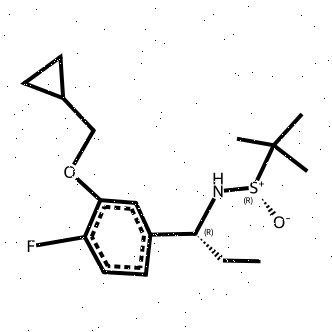 CC[C@@H](N[S@@+]([O-])C(C)(C)C)c1ccc(F)c(OCC2CC2)c1